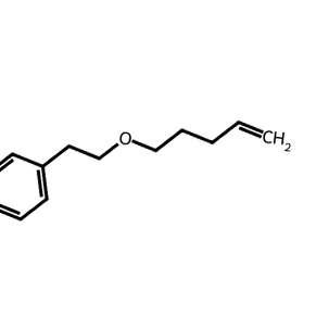 C=CCCCOCCc1ccccc1